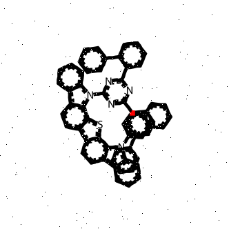 c1ccc(-c2cccc(-c3nc(-c4ccccc4-c4ccccc4)nc(-n4c5ccccc5c5ccc6c7ccc8c9ccccc9n(-c9ccc%10ccccc%10c9)c8c7sc6c54)n3)c2)cc1